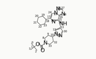 CC(C)(C)OC(=O)N1CCC(n2cc(Nc3nc(C4CCCCC4)cn4ncnc34)cn2)CC1